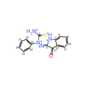 NC(=S)N(N=C1Nc2ccccc2C1=O)c1ccccc1